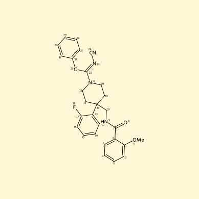 COc1ccccc1C(=O)NCC1(c2ccccc2F)CCN(/C(=N/C#N)Oc2ccccc2)CC1